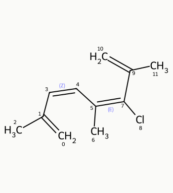 C=C(C)/C=C\C(C)=C(\Cl)C(=C)C